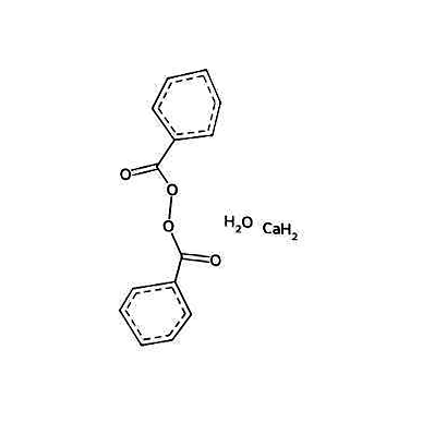 O.O=C(OOC(=O)c1ccccc1)c1ccccc1.[CaH2]